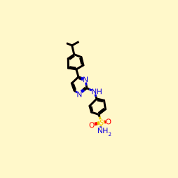 CC(C)c1ccc(-c2ccnc(Nc3ccc(S(N)(=O)=O)cc3)n2)cc1